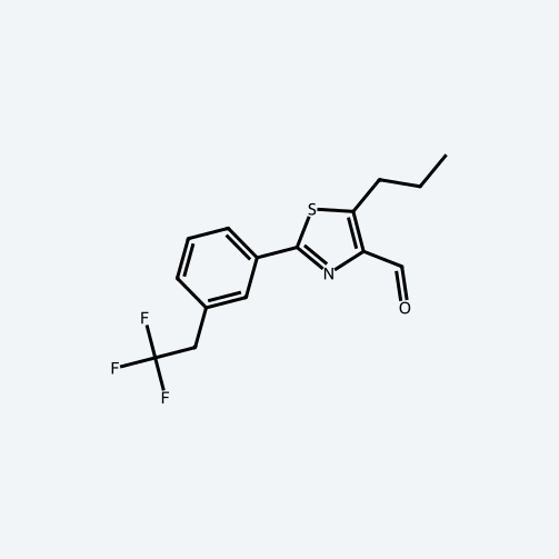 CCCc1sc(-c2cccc(CC(F)(F)F)c2)nc1C=O